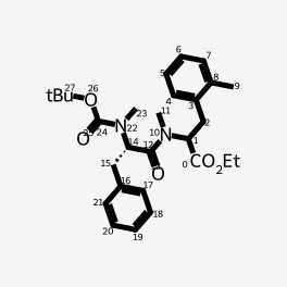 CCOC(=O)C(Cc1ccccc1C)N(C)C(=O)[C@H](Cc1ccccc1)N(C)C(=O)OC(C)(C)C